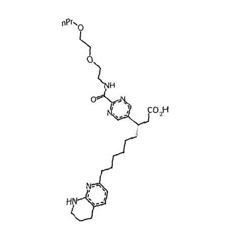 CCCOCCOCCNC(=O)c1ncc([C@@H](CCCCCCc2ccc3c(n2)NCCC3)CC(=O)O)cn1